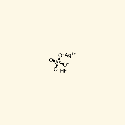 F.O=[As]([O-])([O-])[O-].[Ag+3]